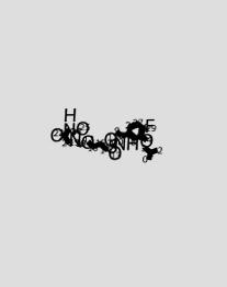 CC(C)COc1cc(C(C)NS(=O)(=O)CCCOCN2CC(=O)NC2=O)ccc1F